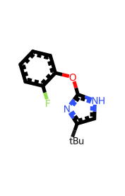 CC(C)(C)c1c[nH]c(Oc2ccccc2F)n1